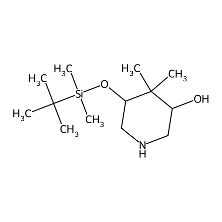 CC1(C)C(O)CNCC1O[Si](C)(C)C(C)(C)C